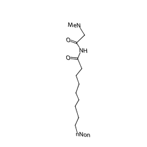 CCCCCCCCCCCCCCCCCC(=O)NC(=O)CNC